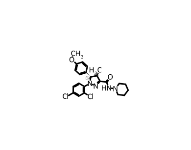 COc1ccc([C@@H]2[C@@H](C)C(C(=O)NN3CCCCC3)=NN2c2ccc(Cl)cc2Cl)cc1